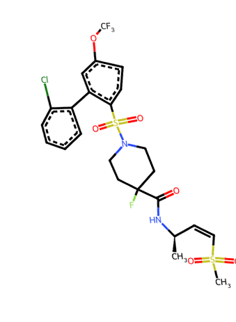 C[C@H](/C=C\S(C)(=O)=O)NC(=O)C1(F)CCN(S(=O)(=O)c2ccc(OC(F)(F)F)cc2-c2ccccc2Cl)CC1